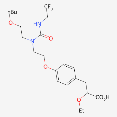 CCCCOCCN(CCOc1ccc(CC(OCC)C(=O)O)cc1)C(=O)NCC(F)(F)F